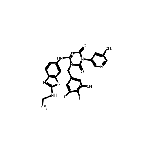 Cc1cncc(-n2c(=O)nc(Nc3ccc4nc(NCC(F)(F)F)sc4c3)n(Cc3cc(F)c(F)c(C#N)c3)c2=O)c1